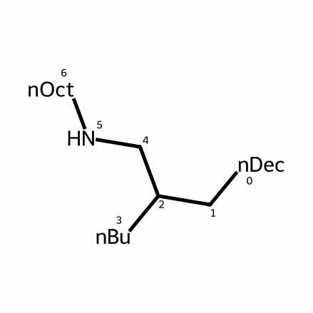 CCCCCCCCCCCC(CCCC)CNCCCCCCCC